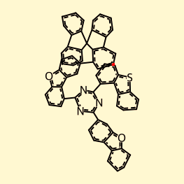 c1ccc2c(c1)-c1ccccc1C21c2ccccc2-c2cccc(-c3ccc4oc5cccc(-c6nc(-c7ccc8c(c7)oc7ccccc78)nc(-c7cccc8sc9ccccc9c78)n6)c5c4c3)c21